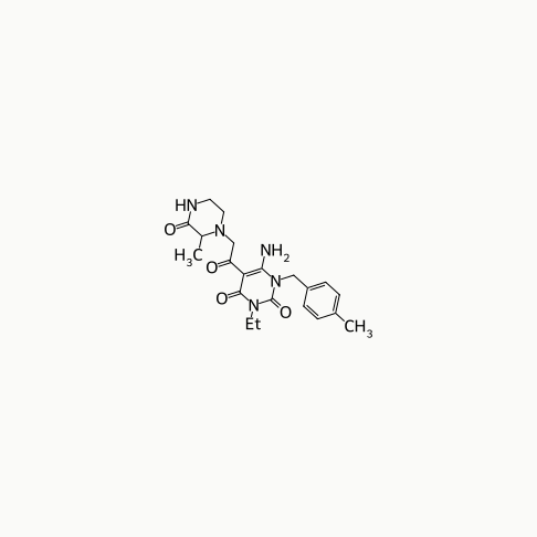 CCn1c(=O)c(C(=O)CN2CCNC(=O)C2C)c(N)n(Cc2ccc(C)cc2)c1=O